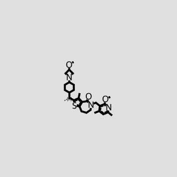 COc1nc(C)cc(C)c1CN1CCCc2sc([C@H](C)C3CCC(N4CC(OC)C4)CC3)c(C)c2C1=O